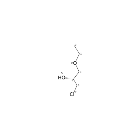 CCOC[C@@H](O)CCl